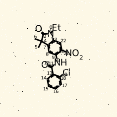 CCN1C(=O)C(C)(C)c2cc(NC(=O)c3ccccc3Cl)c([N+](=O)[O-])cc21